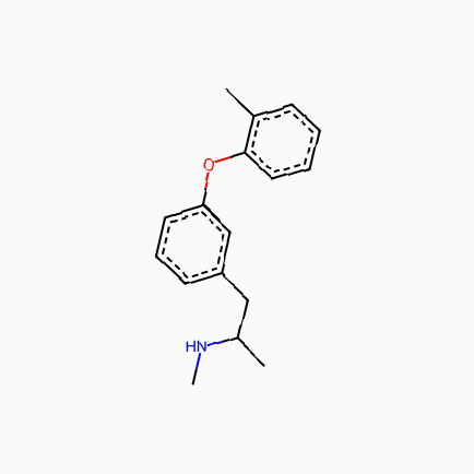 CNC(C)Cc1cccc(Oc2ccccc2C)c1